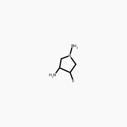 BN1CC(N)C(F)C1